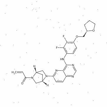 C=CC(=O)N1C[C@@H]2C[C@H]1CN2c1ccc2ncnc(Nc3ccc(OC[C@H]4CCCO4)c(F)c3F)c2n1